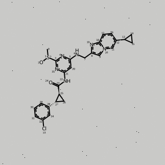 C[S+]([O-])c1nc(NCc2cn3cc(C4CC4)ccc3n2)cc(NC(=O)[C@H]2C[C@@H]2c2cccc(Cl)c2)n1